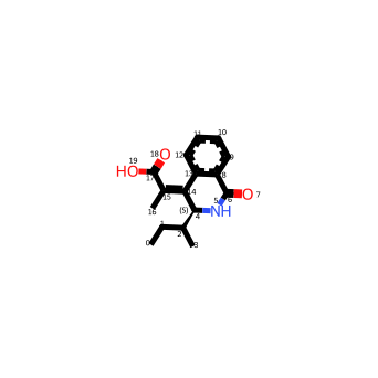 CCC(C)[C@@H]1NC(=O)c2ccccc2C1=C(C)C(=O)O